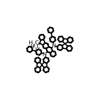 CC1(C)c2ccccc2-c2cc3c(N(c4ccc(-c5ccccc5)cc4)c4ccc5c(c4)C4(c6ccccc6-c6ccccc64)c4ccccc4-5)c4ccccc4c(N(c4ccc(-c5ccccc5)cc4)c4ccc5c(c4)C4(c6ccccc6-c6ccccc64)c4ccccc4-5)c3cc21